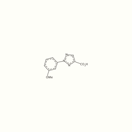 COc1cccc(-n2ncc(C(=O)O)n2)c1